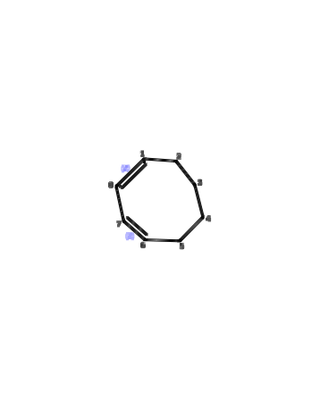 [C]1=[C]\CCCC\C=C/1